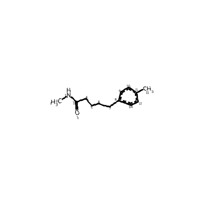 CNC(=O)CCCCc1ccc(C)cc1